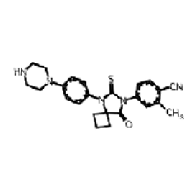 Cc1cc(N2C(=O)C3(CCC3)N(c3ccc(N4CCNCC4)cc3)C2=S)ccc1C#N